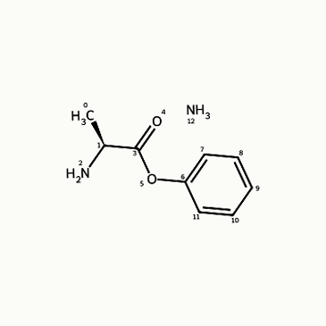 C[C@H](N)C(=O)Oc1ccccc1.N